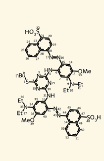 CCCCSc1nc(Nc2cc(N(CC)CC)c(OC)cc2/N=N/c2ccc(S(=O)(=O)O)c3ccccc23)nc(Nc2cc(N(CC)CC)c(OC)cc2/N=N/c2ccc(S(=O)(=O)O)c3ccccc23)n1